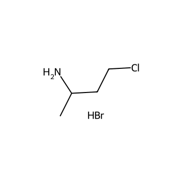 Br.CC(N)CCCl